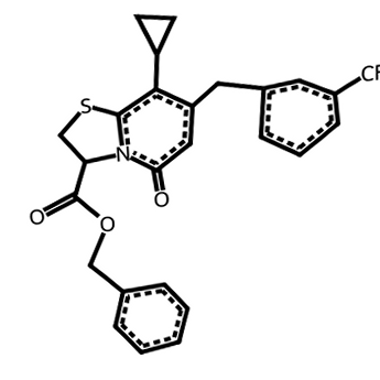 O=C(OCc1ccccc1)C1CSc2c(C3CC3)c(Cc3cccc(C(F)(F)F)c3)cc(=O)n21